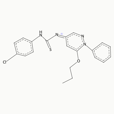 CCCOc1c/c(=N\C(=S)Nc2ccc(Cl)cc2)cnn1-c1ccccc1